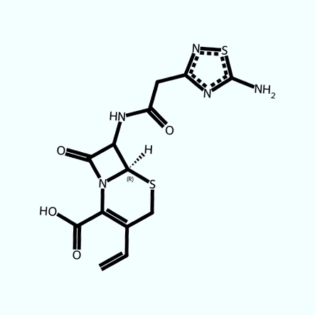 C=CC1=C(C(=O)O)N2C(=O)C(NC(=O)Cc3nsc(N)n3)[C@H]2SC1